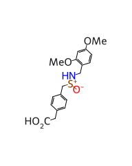 COc1ccc(CN[S+]([O-])Cc2ccc(CC(=O)O)cc2)c(OC)c1